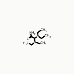 CCN(CC)C(C(N)=O)N(CC)CC